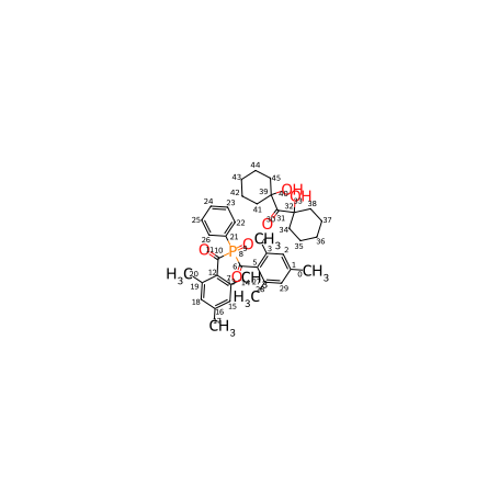 Cc1cc(C)c(C(=O)P(=O)(C(=O)c2c(C)cc(C)cc2C)c2ccccc2)c(C)c1.O=C(C1(O)CCCCC1)C1(O)CCCCC1